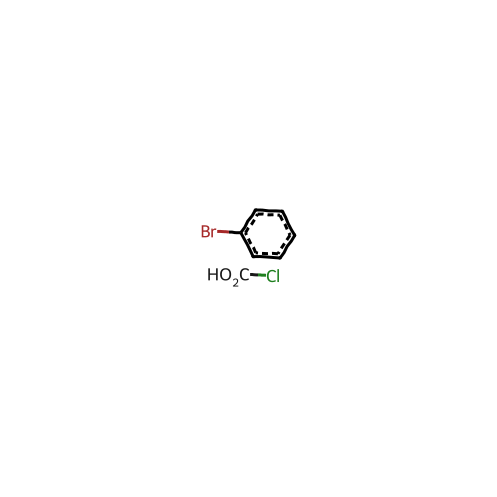 Brc1ccccc1.O=C(O)Cl